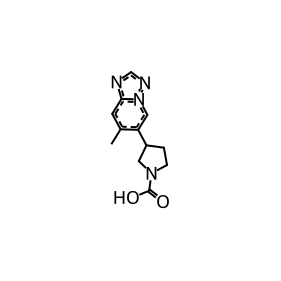 Cc1cc2ncnn2cc1C1CCN(C(=O)O)C1